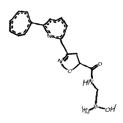 O=C(NCB(O)O)C1CC(c2cccc(-c3ccccc3)n2)=NO1